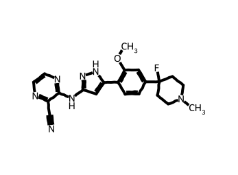 COc1cc(C2(F)CCN(C)CC2)ccc1-c1cc(Nc2nccnc2C#N)n[nH]1